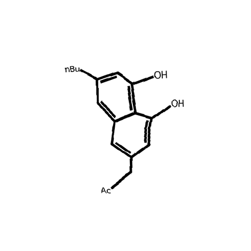 CCCCc1cc(O)c2c(O)cc(CC(C)=O)cc2c1